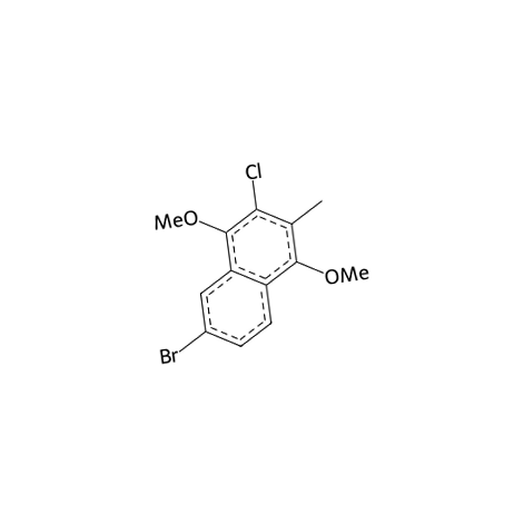 COc1c(C)c(Cl)c(OC)c2cc(Br)ccc12